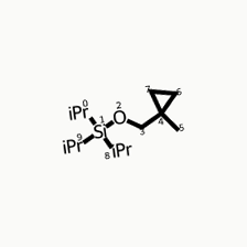 CC(C)[Si](OCC1(C)CC1)(C(C)C)C(C)C